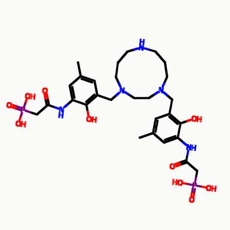 Cc1cc(CN2CCCNCCCN(Cc3cc(C)cc(NC(=O)CP(=O)(O)O)c3O)CC2)c(O)c(NC(=O)CP(=O)(O)O)c1